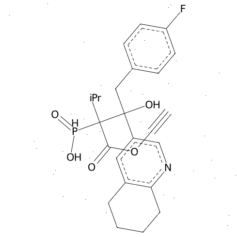 C#COC(=O)C(C(C)C)([PH](=O)O)C(O)(Cc1ccc(F)cc1)c1cnc2c(c1)CCCC2